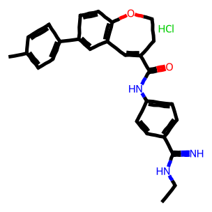 CCNC(=N)c1ccc(NC(=O)C2=Cc3cc(-c4ccc(C)cc4)ccc3OCC2)cc1.Cl